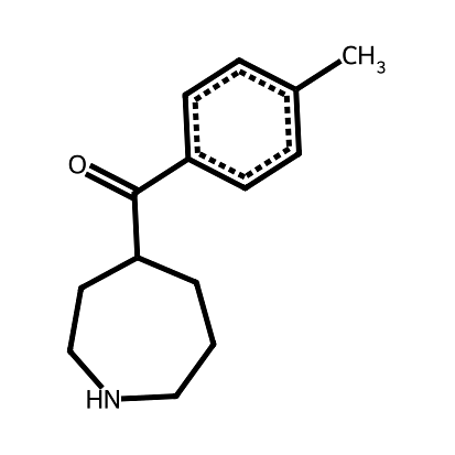 Cc1ccc(C(=O)C2CCCNCC2)cc1